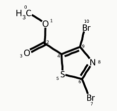 COC(=O)c1sc(Br)nc1Br